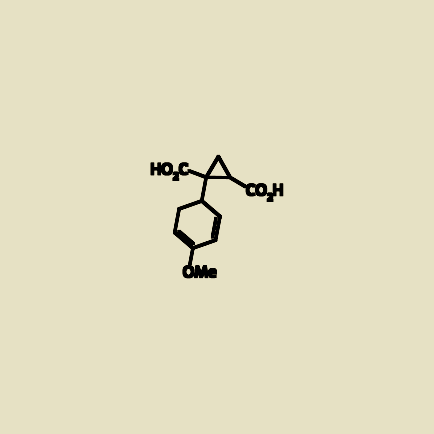 COC1=CCC(C2(C(=O)O)CC2C(=O)O)C=C1